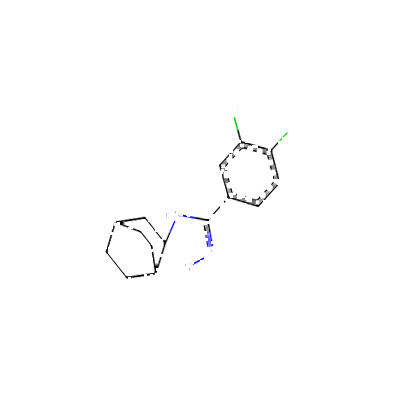 Clc1ccc(C2=NN[C@]3(CC4CCC3CC4)N2)cc1Cl